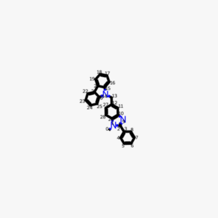 Cn1c(-c2ccccc2)nc2cc(Cn3c4ccccc4c4ccccc43)ccc21